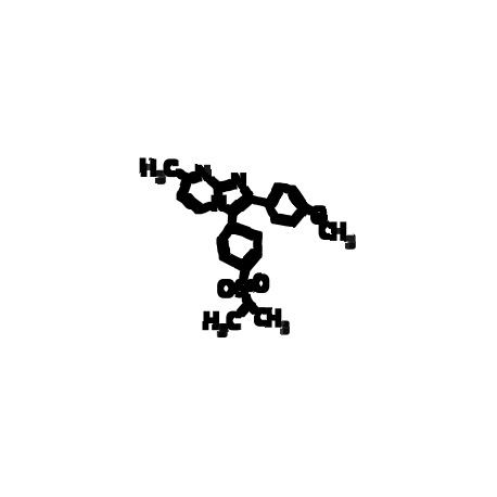 COc1ccc(-c2nc3nc(C)ccn3c2-c2ccc(S(=O)(=O)C(C)C)cc2)cc1